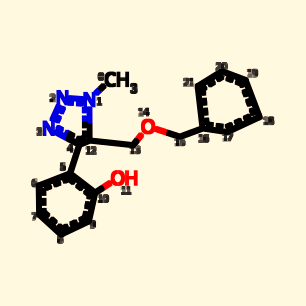 Cn1nnc(-c2ccccc2O)c1COCc1ccccc1